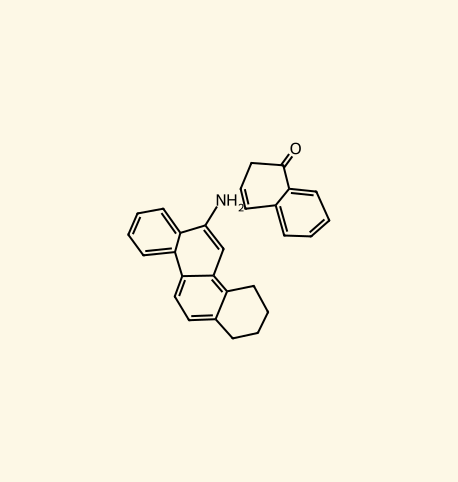 Nc1cc2c3c(ccc2c2ccccc12)CCCC3.O=C1CC=Cc2ccccc21